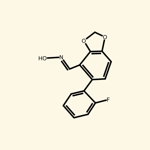 O/N=C/c1c(-c2ccccc2F)ccc2c1OCO2